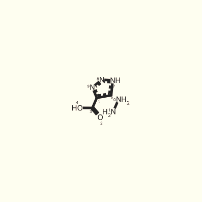 NN.O=C(O)c1c[nH]nn1